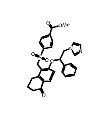 COC(=O)c1ccc(S(=O)(=O)Cc2c(OC(Cn3ccnc3)c3ccccc3)ccc3c2CCCC3=O)cc1